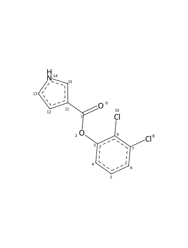 O=C(Oc1cccc(Cl)c1Cl)c1cc[nH]c1